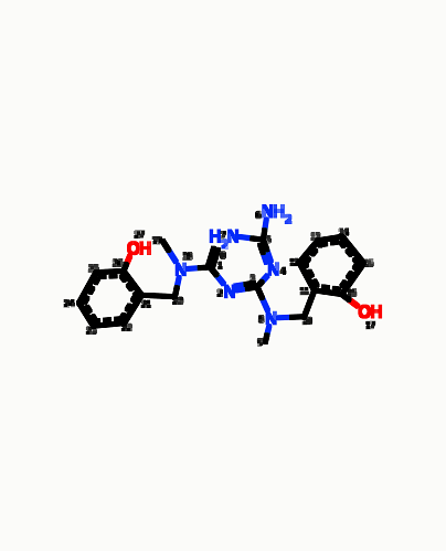 C=C(/N=C(\N=C(N)N)N(C)Cc1ccccc1O)N(C)Cc1ccccc1O